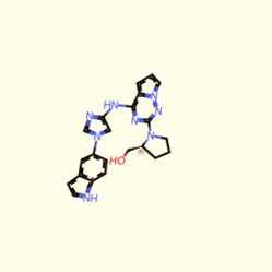 OC[C@@H]1CCCN1c1nc(Nc2cn(-c3ccc4[nH]ccc4c3)cn2)c2cccn2n1